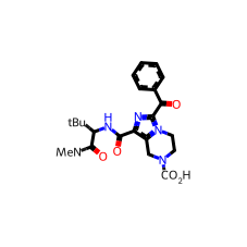 CNC(=O)C(NC(=O)c1nc(C(=O)c2ccccc2)n2c1CN(C(=O)O)CC2)C(C)(C)C